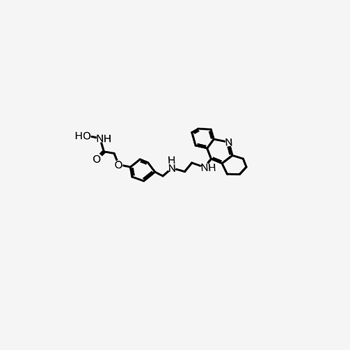 O=C(COc1ccc(CNCCNc2c3c(nc4ccccc24)CCCC3)cc1)NO